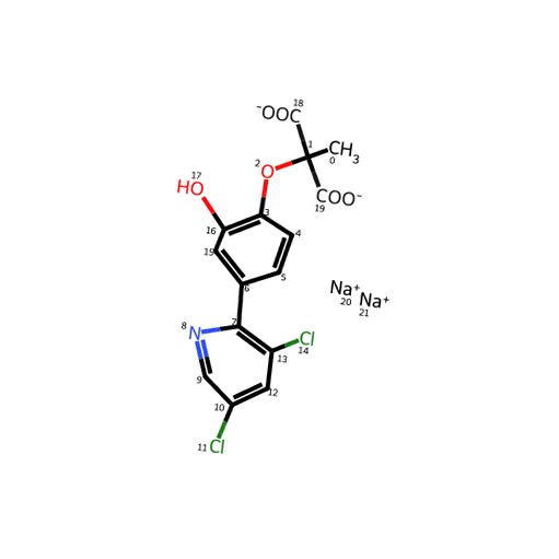 CC(Oc1ccc(-c2ncc(Cl)cc2Cl)cc1O)(C(=O)[O-])C(=O)[O-].[Na+].[Na+]